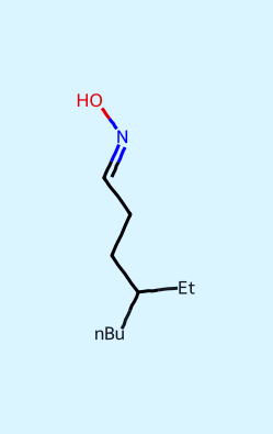 CCCCC(CC)CCC=NO